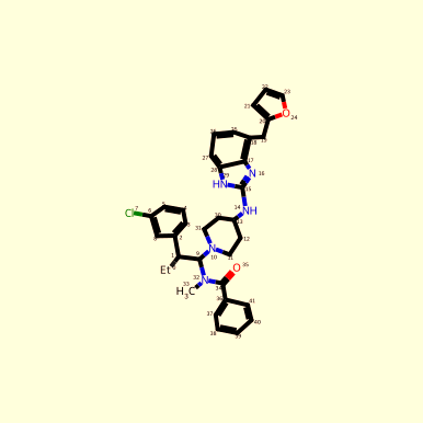 CCC(c1cccc(Cl)c1)C(N1CCC(Nc2nc3c(Cc4ccco4)cccc3[nH]2)CC1)N(C)C(=O)c1ccccc1